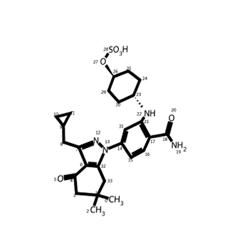 CC1(C)CC(=O)c2c(CC3CC3)nn(-c3ccc(C(N)=O)c(N[C@H]4CC[C@H](OS(=O)(=O)O)CC4)c3)c2C1